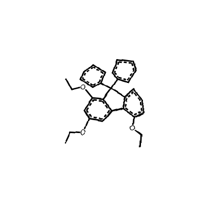 CCOc1cc(OCC)c2c(c1)-c1c(OCC)cccc1C2(c1ccccc1)c1ccccc1